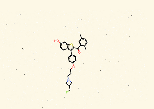 Cc1ccc(C)c(C(=O)c2sc3cc(O)ccc3c2-c2ccc(OCCCN3CC(CF)C3)cc2)c1